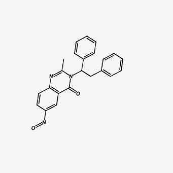 Cc1nc2ccc(N=O)cc2c(=O)n1C(Cc1ccccc1)c1ccccc1